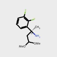 COC(C[C@](C)(N)c1cccc(F)c1F)OC